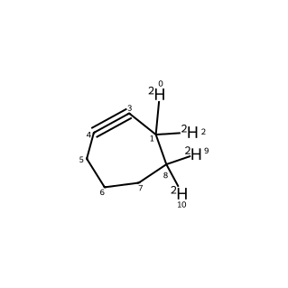 [2H]C1([2H])C#CCCCC1([2H])[2H]